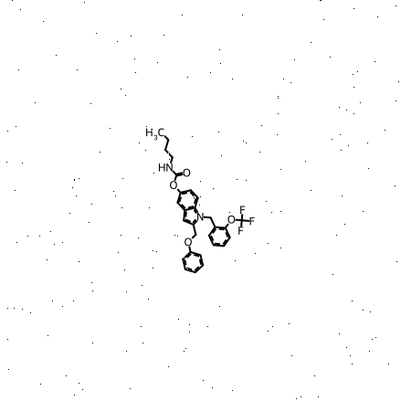 CCCCNC(=O)Oc1ccc2c(c1)cc(COc1ccccc1)n2Cc1ccccc1OC(F)(F)F